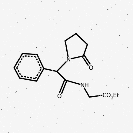 CCOC(=O)CNC(=O)C(c1ccccc1)N1CCCC1=O